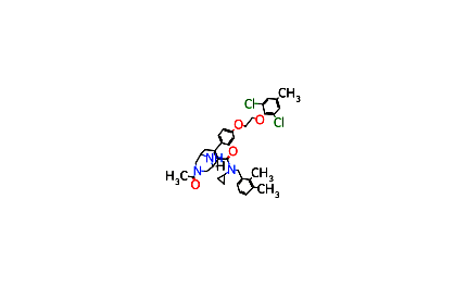 CC(=O)N1CC2CC(c3ccc(OCCOc4c(Cl)cc(C)cc4Cl)cc3)=C(C(=O)N(Cc3cccc(C)c3C)C3CC3)[C@@H](C1)N2